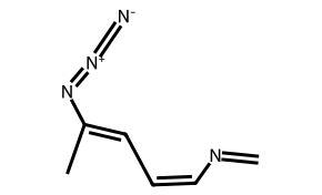 C=N/C=C\C=C(/C)N=[N+]=[N-]